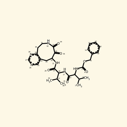 CC(C)C(NC(=O)OCc1ccccc1)C(=O)NC(C(=O)NC1Cc2cncnc2CCNC(=O)C1=O)C(C)C